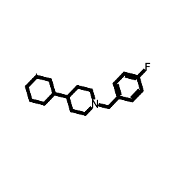 Fc1ccc(CN2CCC(C3C[CH]CCC3)CC2)cc1